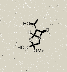 COC1(C(=O)O)CN2C(=O)[C@H](C(C)O)[C@H]2S1